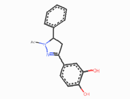 CC(=O)N1N=C(c2ccc(O)c(O)c2)CC1c1ccccc1